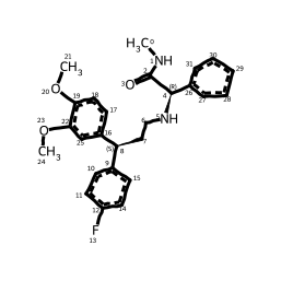 CNC(=O)[C@H](NCC[C@@H](c1ccc(F)cc1)c1ccc(OC)c(OC)c1)c1ccccc1